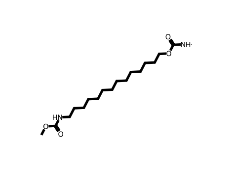 COC(=O)NCCCCCCCCCCCCCCOC([NH])=O